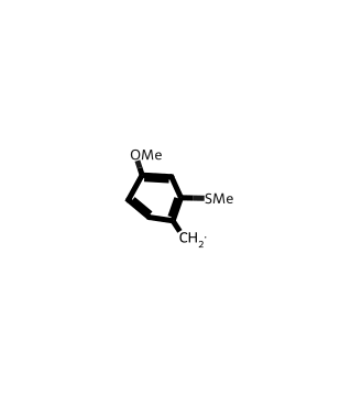 [CH2]c1ccc(OC)cc1SC